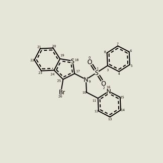 O=S(=O)(c1ccccc1)N(Cc1ccccn1)c1sc2ccccc2c1Br